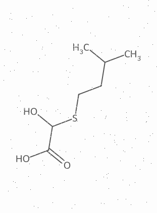 CC(C)CCSC(O)C(=O)O